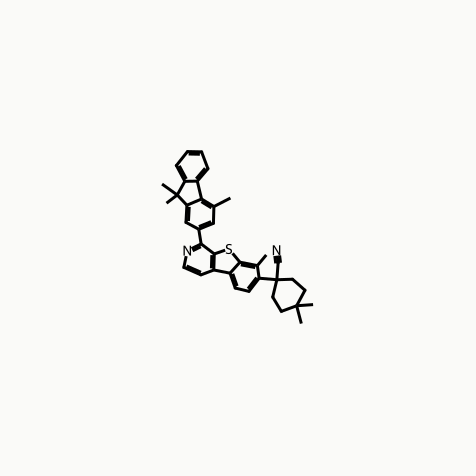 Cc1cc(-c2nccc3c2sc2c(C)c(C4(C#N)CCC(C)(C)CC4)ccc23)cc2c1-c1ccccc1C2(C)C